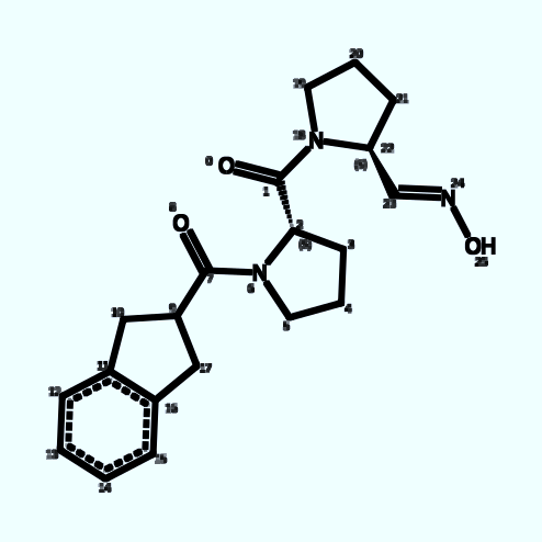 O=C([C@@H]1CCCN1C(=O)C1Cc2ccccc2C1)N1CCC[C@H]1C=NO